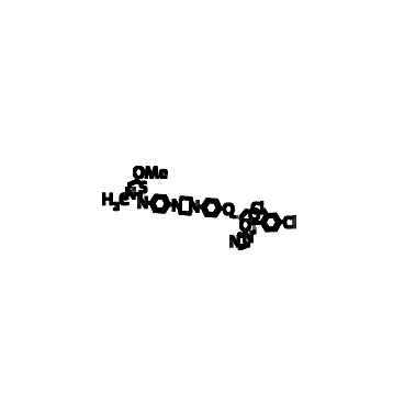 COC1CN(C)C(=Nc2ccc(N3CCN(c4ccc(OC[C@@H]5CO[C@@](Cn6ccnc6)(c6ccc(Cl)cc6Cl)O5)cc4)CC3)cc2)S1